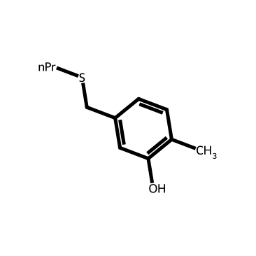 CCCSCc1ccc(C)c(O)c1